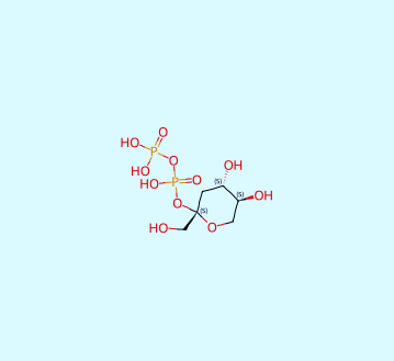 O=P(O)(O)OP(=O)(O)O[C@]1(CO)C[C@H](O)[C@@H](O)CO1